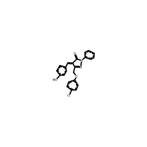 CC(C)(C)c1ccc(C=C2C(=O)N(c3ccccc3)N=C2COc2ccc(Cl)cc2)cc1